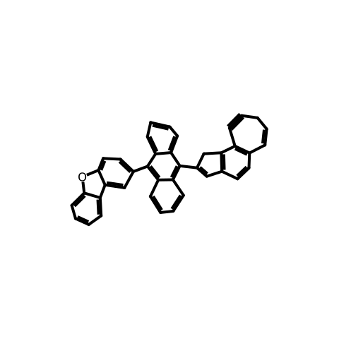 C1#Cc2c(ccc3c2CC(c2c4ccccc4c(-c4ccc5oc6ccccc6c5c4)c4ccccc24)=C3)C=CC1